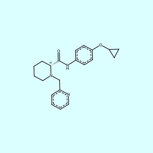 O=C(Nc1ccc(OC2CC2)cc1)[C@H]1CCCCN1Cc1ccccn1